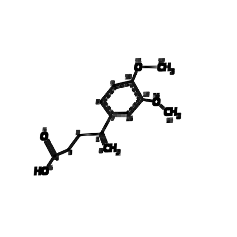 C=C(CCC(=O)O)c1ccc(OC)c(OC)c1